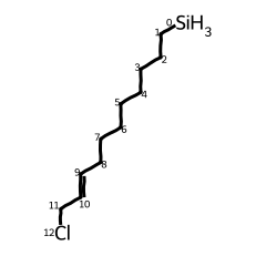 [SiH3]CCCCCCCCC=CCCl